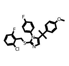 COc1ccc(C(C)(C)c2cnc(SCc3c(F)cccc3Cl)n2-c2ccc(F)cc2)cc1